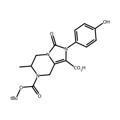 CC1Cn2c(c(C(=O)O)n(-c3ccc(O)cc3)c2=O)CN1C(=O)OC(C)(C)C